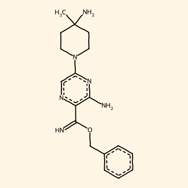 CC1(N)CCN(c2cnc(C(=N)OCc3ccccc3)c(N)n2)CC1